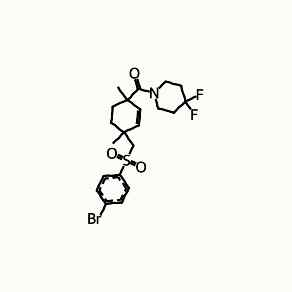 CC1(CS(=O)(=O)c2ccc(Br)cc2)C=CC(C)(C(=O)N2CCC(F)(F)CC2)CC1